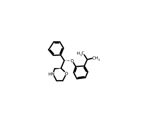 CC(C)c1ccccc1O[C@@H](c1ccccc1)[C@@H]1CNCCO1